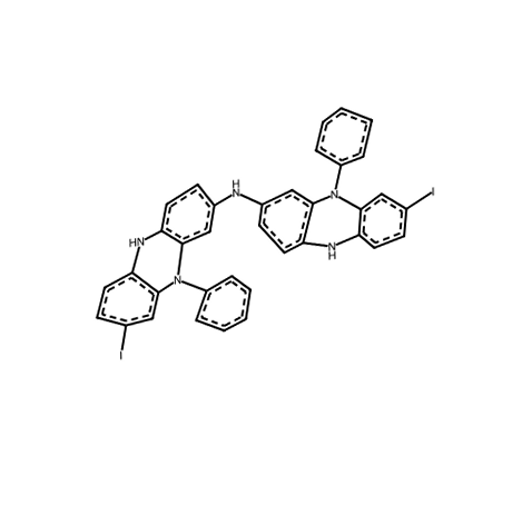 Ic1ccc2c(c1)N(c1ccccc1)c1cc(Nc3ccc4c(c3)N(c3ccccc3)c3cc(I)ccc3N4)ccc1N2